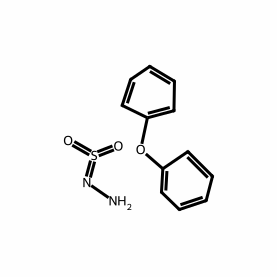 NN=S(=O)=O.c1ccc(Oc2ccccc2)cc1